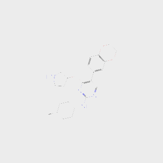 C[C@H]1CC[C@H](Nc2ncc(-c3ccc4c(c3)OCCO4)c(OC3CCNC3)n2)CC1